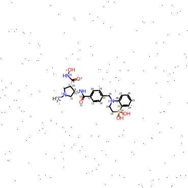 CN1C[C@H](C(=O)NO)[C@H](NC(=O)c2ccc(CN3CCS(O)(O)c4ccccc43)cc2)C1